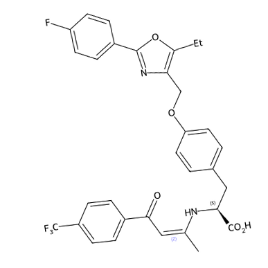 CCc1oc(-c2ccc(F)cc2)nc1COc1ccc(C[C@H](N/C(C)=C\C(=O)c2ccc(C(F)(F)F)cc2)C(=O)O)cc1